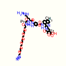 CC[C@@]1(O)C(=O)OCc2c1cc1n(c2=O)Cc2c-1nc1cc(F)c(C)c3c1c2[C@@H](NC(=O)Oc1ccc(NC(=O)C(CCCCNN)NC(=O)[C@@H](NC(=O)CCOCCOCCOCCOCCOCCOCCN=[N+]=[N-])C(C)C)cc1)CC3